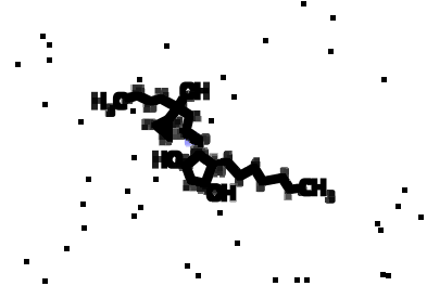 CCCCCCC[C@@H]1[C@@H](/C=C/CC(O)(CCCC)C2CC2)[C@H](O)C[C@@H]1O